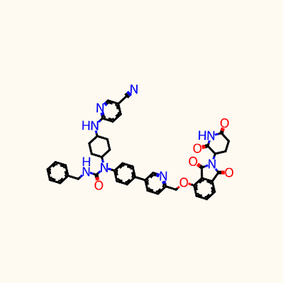 N#Cc1ccc(NC2CCC(N(C(=O)NCc3ccccc3)c3ccc(-c4ccc(COc5cccc6c5C(=O)N(C5CCC(=O)NC5=O)C6=O)nc4)cc3)CC2)nc1